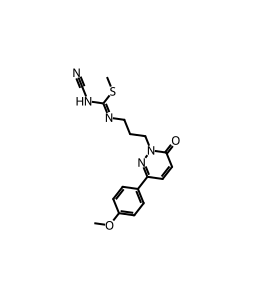 COc1ccc(-c2ccc(=O)n(CCCN=C(NC#N)SC)n2)cc1